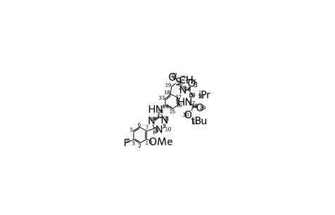 COc1cc(F)ccc1-c1ncnc(Nc2cccc(CS(C)(=O)=NC(=O)[C@@H](NC(=O)OC(C)(C)C)C(C)C)c2)n1